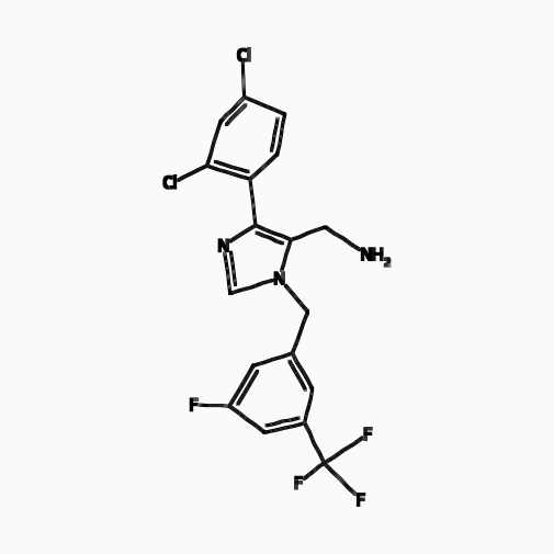 NCc1c(-c2ccc(Cl)cc2Cl)ncn1Cc1cc(F)cc(C(F)(F)F)c1